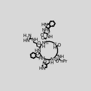 CCCC(=O)N[C@H]1CCC(=O)NCC[C@@H](C(=O)N[C@@H](Cc2c[nH]c3ccccc23)C(N)=O)NC(=O)[C@H](CCCNC(=N)N)NC(=O)[C@@H](Cc2ccccc2)NC(=O)[C@H](Cc2c[nH]cn2)NC1=O